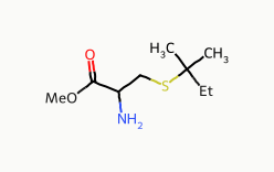 CCC(C)(C)SCC(N)C(=O)OC